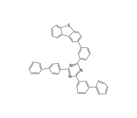 c1ccc(-c2ccc(-c3nc(-c4cccc(-c5ccccc5)c4)nc(-c4cccc(-c5ccc6sc7ccccc7c6c5)c4)n3)cc2)cc1